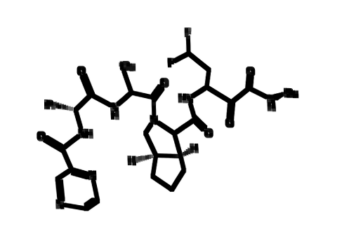 CC[C@H](C)NC(=O)C(=O)C(CC(F)F)NC(=O)C1[C@H]2CCC[C@H]2CN1C(=O)C(NC(=O)[C@H](NC(=O)c1cnccn1)C(C)C)C(C)(C)C